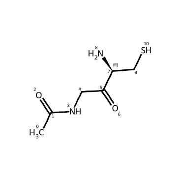 CC(=O)NCC(=O)[C@@H](N)CS